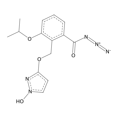 CC(C)Oc1cccc(C(=O)N=[N+]=[N-])c1COc1ccn(O)n1